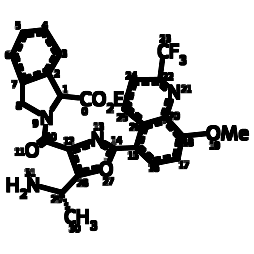 CCOC(=O)C1c2ccccc2CN1C(=O)c1nc(-c2ccc(OC)c3nc(C(F)(F)F)ccc23)oc1[C@H](C)N